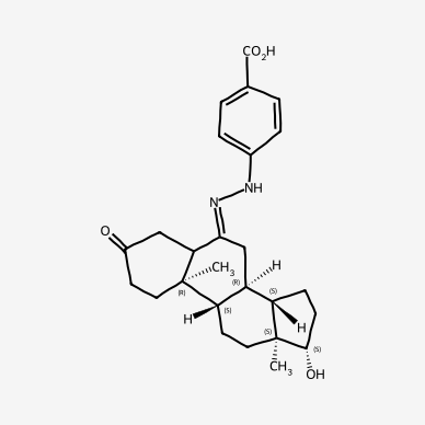 C[C@]12CC[C@H]3[C@@H](CC(=NNc4ccc(C(=O)O)cc4)C4CC(=O)CC[C@@]43C)[C@@H]1CC[C@@H]2O